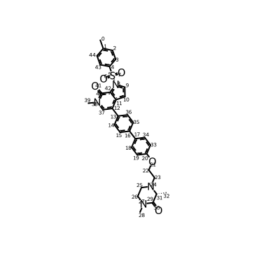 Cc1ccc(S(=O)(=O)n2ccc3c(-c4ccc(-c5ccc(OCCN6CCN(C)C(=O)[C@H]6C)cc5)cc4)cn(C)c(=O)c32)cc1